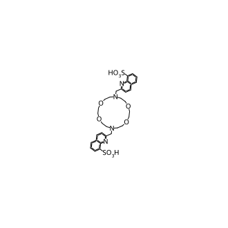 O=S(=O)(O)c1cccc2ccc(CN3CCOCCOCCN(Cc4ccc5cccc(S(=O)(=O)O)c5n4)CCOCCOCC3)nc12